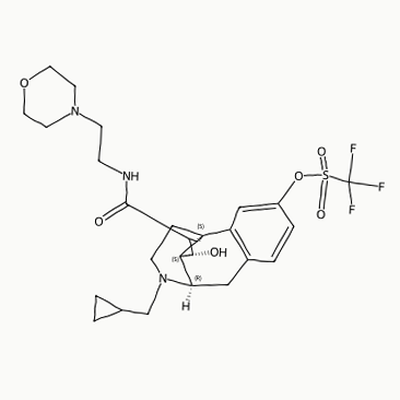 O=C(NCCN1CCOCC1)C1C[C@]23CCN(CC4CC4)[C@H](Cc4ccc(OS(=O)(=O)C(F)(F)F)cc42)[C@]3(O)C1